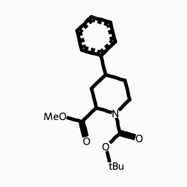 COC(=O)C1CC(c2ccccc2)CCN1C(=O)OC(C)(C)C